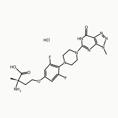 Cl.Cn1nnc2c(=O)[nH]c(N3CCN(c4c(F)cc(OCC[C@](C)(N)C(=O)O)cc4F)CC3)nc21